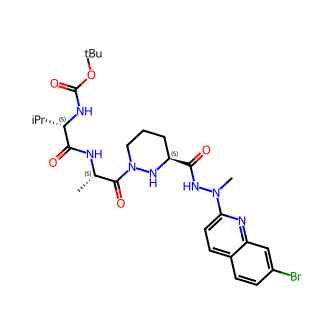 CC(C)[C@H](NC(=O)OC(C)(C)C)C(=O)N[C@@H](C)C(=O)N1CCC[C@@H](C(=O)NN(C)c2ccc3ccc(Br)cc3n2)N1